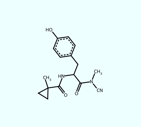 CN(C#N)C(=O)C(Cc1ccc(O)cc1)NC(=O)C1(C)CC1